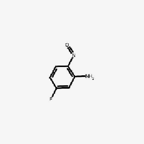 Nc1cc(F)ccc1N=O